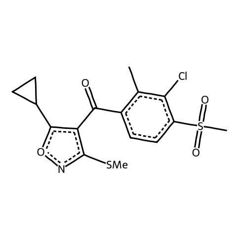 CSc1noc(C2CC2)c1C(=O)c1ccc(S(C)(=O)=O)c(Cl)c1C